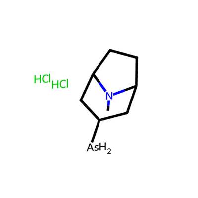 CN1C2CCC1CC([AsH2])C2.Cl.Cl